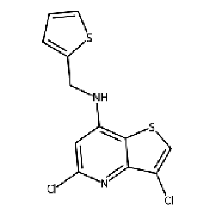 Clc1cc(NCc2cccs2)c2scc(Cl)c2n1